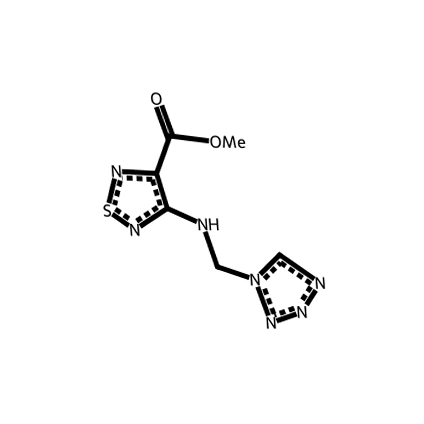 COC(=O)c1nsnc1NCn1cnnn1